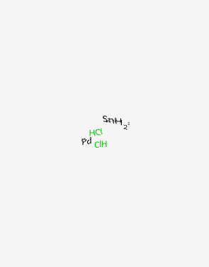 Cl.Cl.[Pd].[SnH2]